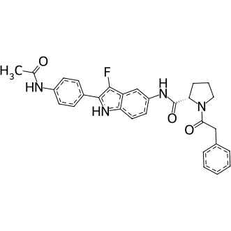 CC(=O)Nc1ccc(-c2[nH]c3ccc(NC(=O)[C@@H]4CCCN4C(=O)Cc4ccccc4)cc3c2F)cc1